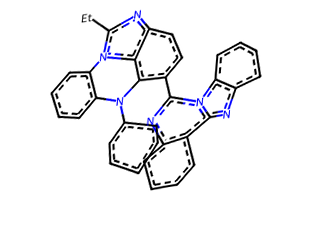 CCc1nc2ccc(-c3nc4ccccc4c4nc5ccccc5n34)c3c2n1-c1ccccc1N3c1ccccc1